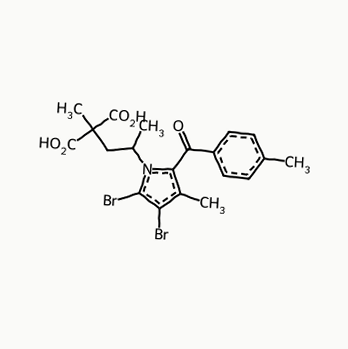 Cc1ccc(C(=O)c2c(C)c(Br)c(Br)n2C(C)CC(C)(C(=O)O)C(=O)O)cc1